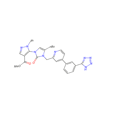 CCCCc1cn(-c2c(C(=O)OC)cnn2C(C)C)c(=O)n1Cc1cc(-c2cccc(-c3nnn[nH]3)c2)ccn1